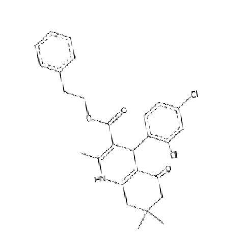 CC1=C(C(=O)OCCc2ccccc2)C(c2ccc(Cl)cc2Cl)C2=C(CC(C)(C)CC2=O)N1